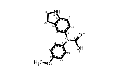 COc1ccc(N(C(=O)O)c2ccc3c(c2)CCN3)cc1